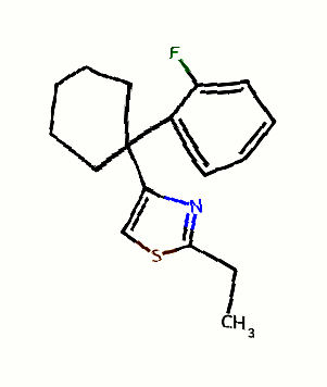 CCc1nc(C2(c3ccccc3F)CCCCC2)cs1